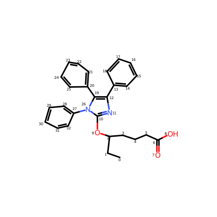 CCC(CCCC(=O)O)Oc1nc(-c2ccccc2)c(-c2ccccc2)n1-c1ccccc1